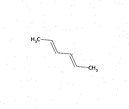 CC=C/[C]=C/C